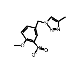 COc1ccc(Cn2cc(C)nn2)cc1[N+](=O)[O-]